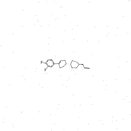 C=CC[C@H]1CC[C@H](C2CC=C(c3ccc(F)c(F)c3)CC2)CC1